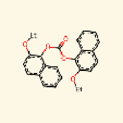 CCOc1ccc2ccccc2c1OC(=O)Oc1c(OCC)ccc2ccccc12